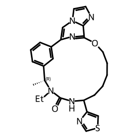 CCN1C(=O)NC(c2cscn2)CCCCCOc2nc(cn3ccnc23)-c2cccc(c2)[C@H]1C